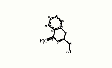 C=C1C=C(CCl)Cc2ccccc21